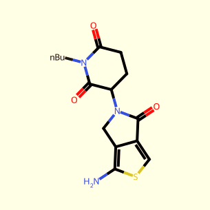 CCCCN1C(=O)CCC(N2Cc3c(csc3N)C2=O)C1=O